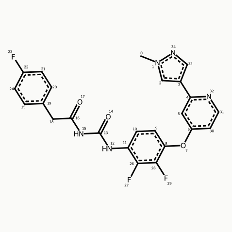 Cn1cc(-c2cc(Oc3ccc(NC(=O)NC(=O)Cc4ccc(F)cc4)c(F)c3F)ccn2)cn1